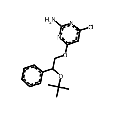 CC(C)(C)OC(COc1cc(Cl)nc(N)n1)c1ccccc1